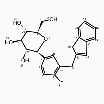 OC[C@H]1O[C@@H](c2ccc(F)c(CC3=Cc4ccccc4C3)c2)[C@H](O)[C@@H](O)[C@@H]1O